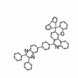 c1ccc(-c2nc3ccc(-c4ccc(-c5nc6ccccc6c6c7c(ccc56)C5(c6ccccc6O7)c6ccccc6-c6ccccc65)cc4)cc3nc2-c2ccccc2)cc1